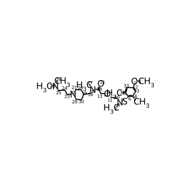 COc1cc(C)c(SN(C)CCOCC(=O)N(C)CC2CCN(CCCN(C)C)CC2)c(C)c1